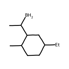 BC(C)C1CC(CC)CCC1C